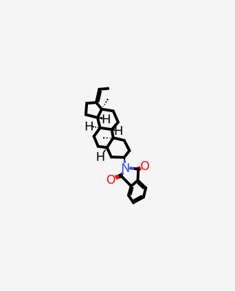 C/C=C1/CC[C@H]2[C@@H]3CC[C@@H]4C[C@H](N5C(=O)c6ccccc6C5=O)CC[C@]4(C)[C@H]3CC[C@]12C